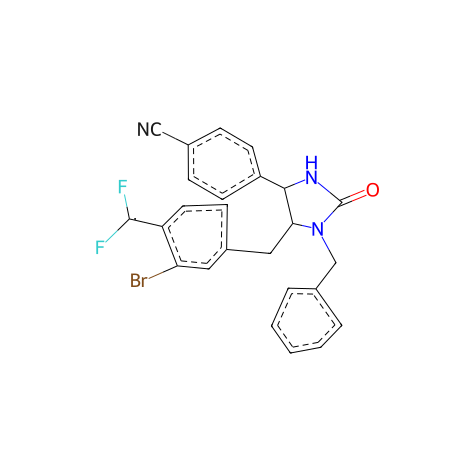 N#Cc1ccc(C2NC(=O)N(Cc3ccccc3)C2Cc2ccc([C](F)F)c(Br)c2)cc1